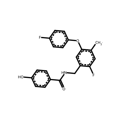 [CH2]c1cc(F)c(CNC(=O)c2ccc(O)cc2)cc1Oc1ccc(F)cc1